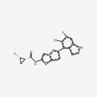 CCc1c(F)cc2[nH]ncc2c1-c1ccc2nc(NC(=O)[C@@H]3C[C@@H]3F)cn2n1